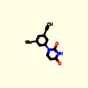 C#Cc1cc(-n2ccc(=O)[nH]c2=O)cc(C(C)(C)C)c1